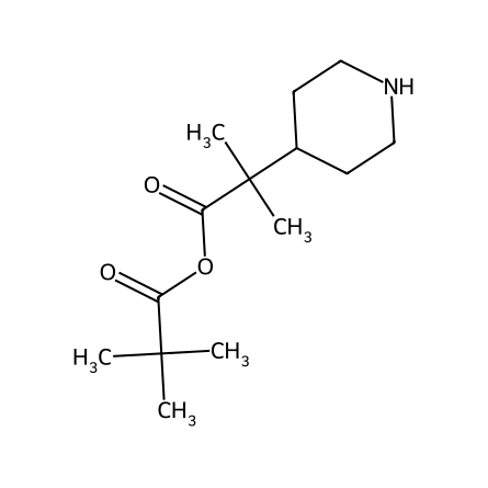 CC(C)(C)C(=O)OC(=O)C(C)(C)C1CCNCC1